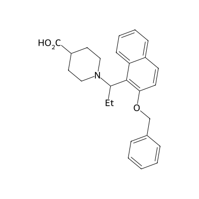 CCC(c1c(OCc2ccccc2)ccc2ccccc12)N1CCC(C(=O)O)CC1